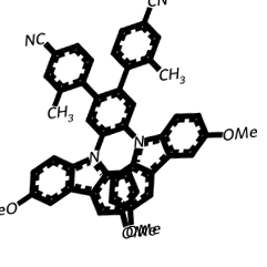 COc1ccc2c(c1)c1cc(OC)ccc1n2-c1cc(-c2ccc(C#N)cc2C)c(-c2ccc(C#N)cc2C)cc1-n1c2ccc(OC)cc2c2cc(OC)ccc21